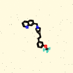 FC(F)(F)Oc1cccc([CH]CC2C3CN(Cc4ccc5cccnc5c4)CC23)c1